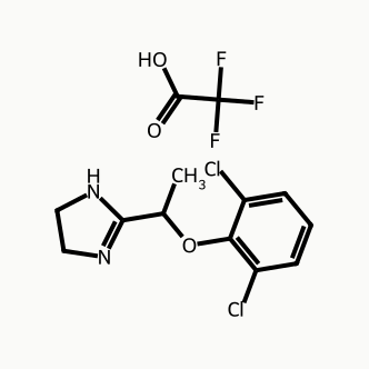 CC(Oc1c(Cl)cccc1Cl)C1=NCCN1.O=C(O)C(F)(F)F